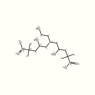 CC(C)(CC(O)CN(CCO)CC(O)CC(C)(C)[N+](=O)[O-])[N+](=O)[O-]